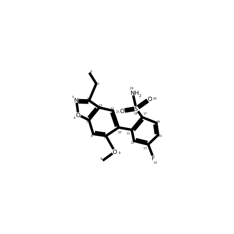 CCc1noc2cc(OC)c(-c3cc(F)ccc3S(N)(=O)=O)cc12